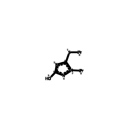 CC(C)Sc1nc(O)nn1C(C)C